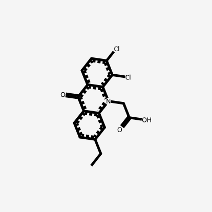 CCc1ccc2c(=O)c3ccc(Cl)c(Cl)c3n(CC(=O)O)c2c1